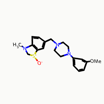 COc1cccc(N2CCN(Cc3ccc4c(c3)[S+]([O-])CN4C)CC2)c1